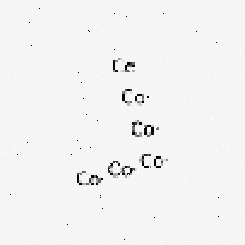 [Ce].[Co].[Co].[Co].[Co].[Co]